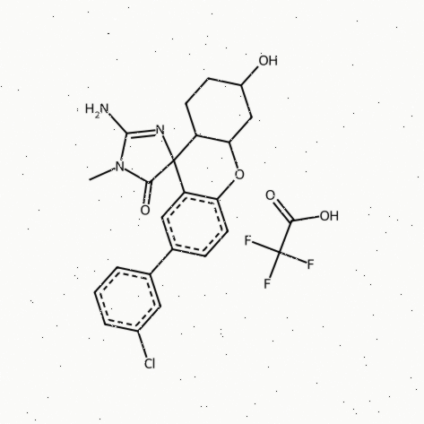 CN1C(=O)C2(N=C1N)c1cc(-c3cccc(Cl)c3)ccc1OC1CC(O)CCC12.O=C(O)C(F)(F)F